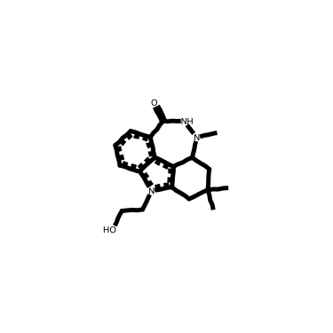 CN1NC(=O)c2cccc3c2c2c(n3CCO)CC(C)(C)CC21